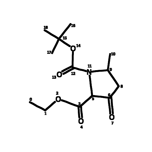 CCOC(=O)C1C(=O)CC(C)N1C(=O)OC(C)(C)C